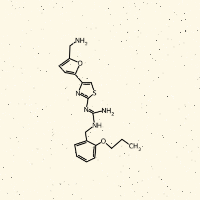 CCCOc1ccccc1CNC(N)=Nc1nc(-c2ccc(CN)o2)cs1